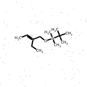 C/C=C(\CC)CO[Si](C)(C)C(C)(C)C